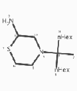 CCCCCCC(C)(CCCCCC)N1CCSC(N)C1